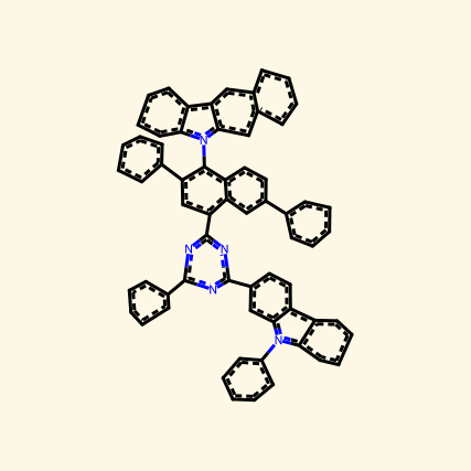 c1ccc(-c2ccc3c(-n4c5ccccc5c5cc6ccccc6cc54)c(-c4ccccc4)cc(-c4nc(-c5ccccc5)nc(-c5ccc6c7ccccc7n(-c7ccccc7)c6c5)n4)c3c2)cc1